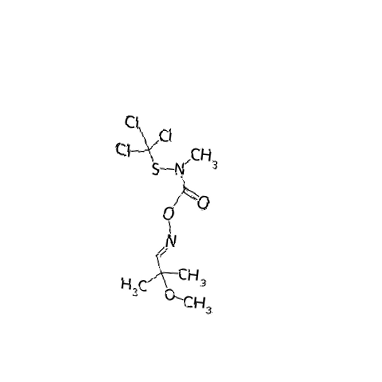 COC(C)(C)C=NOC(=O)N(C)SC(Cl)(Cl)Cl